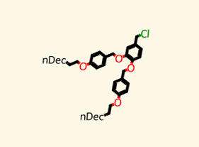 CCCCCCCCCCCCOc1ccc(COc2ccc(CCl)cc2OCc2ccc(OCCCCCCCCCCCC)cc2)cc1